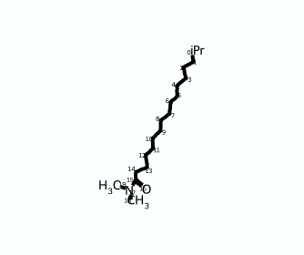 CC(C)CCCCCCCCCCCCCCC(=O)N(C)C